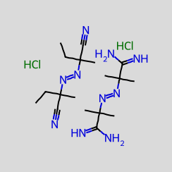 CC(C)(N=NC(C)(C)C(=N)N)C(=N)N.CCC(C)(C#N)N=NC(C)(C#N)CC.Cl.Cl